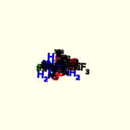 NC(=O)c1cc(NC2=NCC(F)CN2)c2cnn(C(C(N)=O)[C@@H](CC(=O)OC(=O)C(F)(F)F)c3cccc(OC4CC4)c3)c2c1